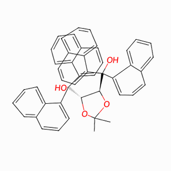 CC1(C)O[C@H](C(O)(c2cccc3ccccc23)c2cccc3ccccc23)[C@@H](C(O)(c2cccc3ccccc23)c2cccc3ccccc23)O1